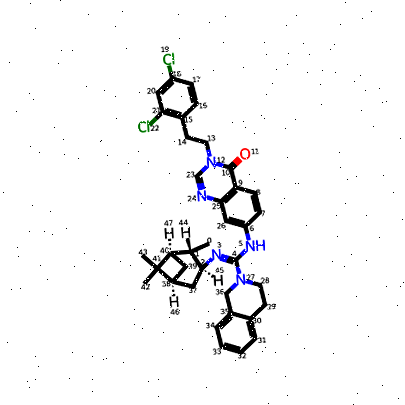 C[C@@H]1[C@@H](N=C(Nc2ccc3c(=O)n(CCc4ccc(Cl)cc4Cl)cnc3c2)N2CCc3ccccc3C2)C[C@@H]2C[C@H]1C2(C)C